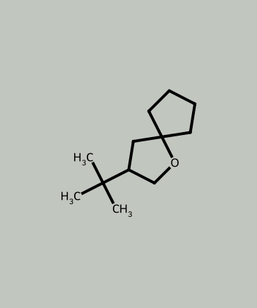 CC(C)(C)C1COC2(CCCC2)C1